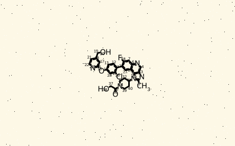 Cc1nc2cnc3cc(F)c(-c4ccc(Oc5cc(CO)ccn5)cc4Cl)cc3c2n1C1CCN(C(=O)CO)CC1